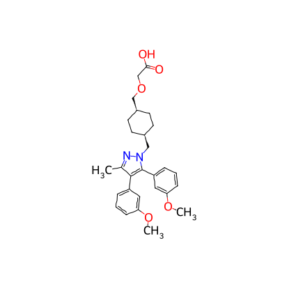 COc1cccc(-c2c(C)nn(C[C@H]3CC[C@@H](COCC(=O)O)CC3)c2-c2cccc(OC)c2)c1